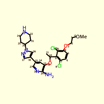 COCCOc1ccc(Cl)c(C(C)Oc2cc(-c3cnn(C4CCNCC4)c3)cnc2N)c1Cl